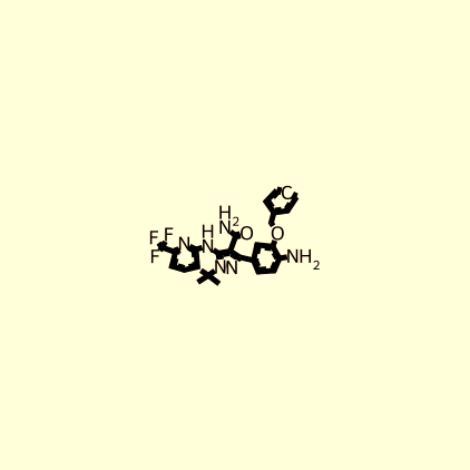 CC(C)(C)n1nc(-c2ccc(N)c(OCc3ccccc3)c2)c(C(N)=O)c1Nc1cccc(C(F)(F)F)n1